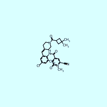 Cc1cc(Cl)cc(C=C2CCN(C(=O)C3CC(C)(C)C3)CC2)c1NC(=O)c1cc(C#N)n(C)c(=O)c1